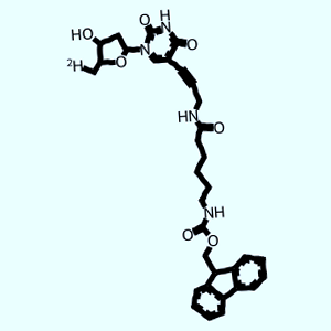 [2H]CC1OC(n2cc(C#CCNC(=O)CCCCCNC(=O)OCC3c4ccccc4-c4ccccc43)c(=O)[nH]c2=O)CC1O